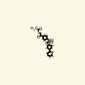 CC(=O)SCC(=O)c1ccc(NS(=O)(=O)c2ccc(-c3ccccn3)cc2)cc1